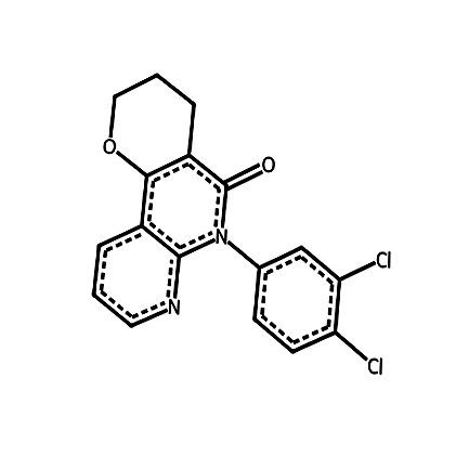 O=c1c2c(c3cccnc3n1-c1ccc(Cl)c(Cl)c1)OCCC2